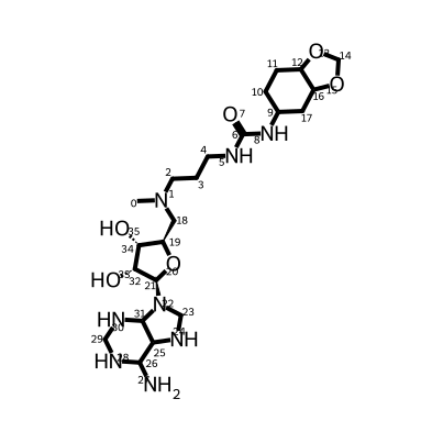 CN(CCCNC(=O)NC1CCC2OCOC2C1)C[C@H]1O[C@@H](N2CNC3C(N)NCNC32)[C@H](O)[C@@H]1O